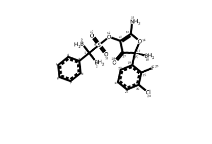 BC(B)(c1ccccc1)S(=O)(=O)OC1=C(N)O[C@](B)(c2cccc(Cl)c2F)C1=O